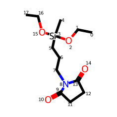 CCO[Si](C)(CCCN1C(=O)CCC1=O)OCC